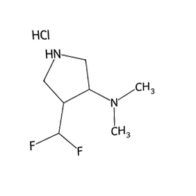 CN(C)C1CNCC1C(F)F.Cl